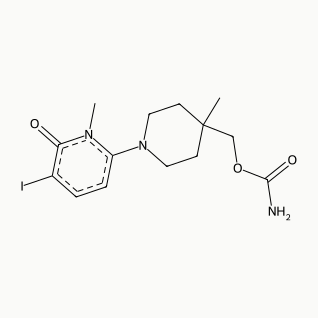 Cn1c(N2CCC(C)(COC(N)=O)CC2)ccc(I)c1=O